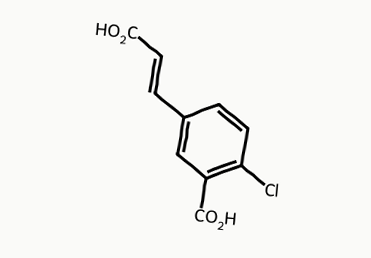 O=C(O)/C=C/c1ccc(Cl)c(C(=O)O)c1